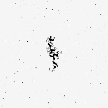 Cc1nnc(SCC2=C(C(=O)O)N3C(=O)C(NC(=O)CS(=O)(=O)C(F)(F)CF)[C@@H]3SC2)s1